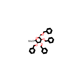 CO[C@H]1O[C@H](COCc2ccccc2)[C@@H](OCc2ccccc2)[C@H](OCc2ccccc2)[C@@H]1OCc1ccccc1